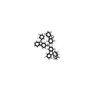 c1ccc(-n2c3ccccc3c3ccc(N(c4ccc5c(c4)-c4ccccc4C54C5CC6CC(C5)CC4C6)c4ccc5oc6ccccc6c5c4)cc32)cc1